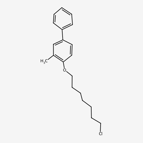 Cc1cc(-c2ccccc2)ccc1OCCCCCCCCl